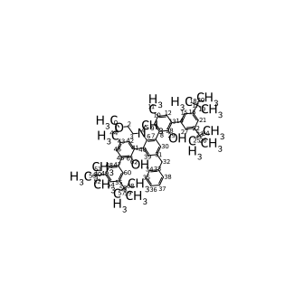 COCCN(C)c1c(-c2cc(C)cc(-c3cc(C(C)(C)C)cc(C(C)(C)C)c3)c2O)cc(Cc2ccccc2)cc1-c1cc(C)cc(-c2cc(C(C)(C)C)cc(C(C)(C)C)c2)c1O